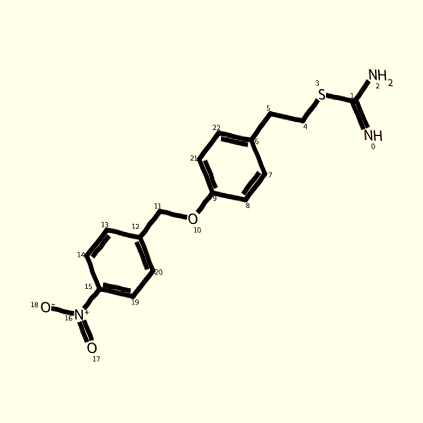 N=C(N)SCCc1ccc(OCc2ccc([N+](=O)[O-])cc2)cc1